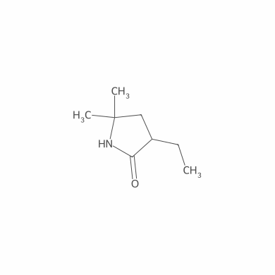 CCC1CC(C)(C)NC1=O